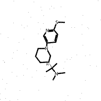 CSc1ccc(N2CCC[C@@H](C(C)(C)N(C)C)C2)cn1